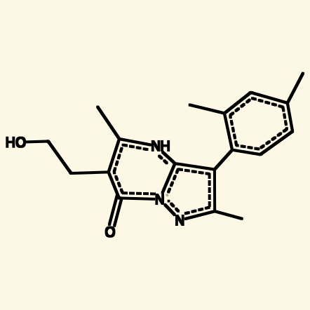 Cc1ccc(-c2c(C)nn3c(=O)c(CCO)c(C)[nH]c23)c(C)c1